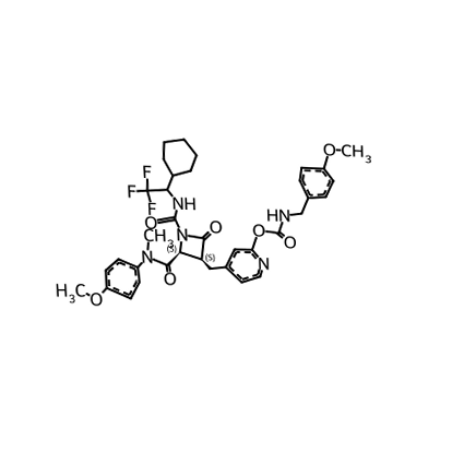 COc1ccc(CNC(=O)Oc2cc(C[C@@H]3C(=O)N(C(=O)NC(C4CCCCC4)C(F)(F)F)[C@@H]3C(=O)N(C)c3ccc(OC)cc3)ccn2)cc1